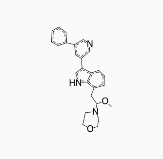 COC(Cc1cccc2c(-c3cncc(-c4ccccc4)c3)c[nH]c12)N1CCOCC1